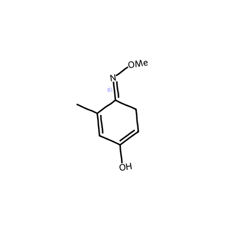 CO/N=C1\CC=C(O)C=C1C